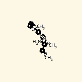 CCOc1cccc(-c2cc(OC)c(CN3CCN(c4ccc(C(=O)N(C)CC56CC7CC(CC(C7)C5)C6)cc4)CC3)c(OC)c2)c1